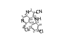 N#Cc1cnc2cnc(F)cc2c1Nc1cc(Cl)cc(Cl)c1